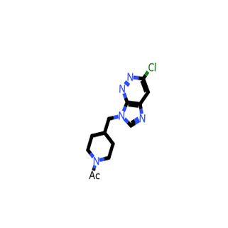 CC(=O)N1CCC(Cn2cnc3cc(Cl)nnc32)CC1